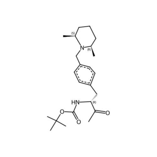 CC(=O)[C@@H](Cc1ccc(CN2[C@H](C)CCC[C@@H]2C)cc1)NC(=O)OC(C)(C)C